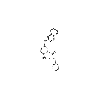 O=C1c2cc(Oc3ccc4ccccc4n3)ccc2NCC1Cc1ccccc1